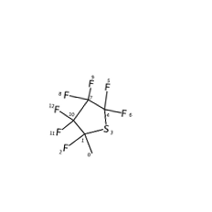 CC1(F)SC(F)(F)C(F)(F)C1(F)F